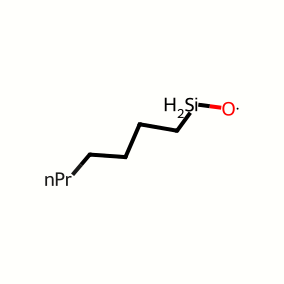 CCCCCCC[SiH2][O]